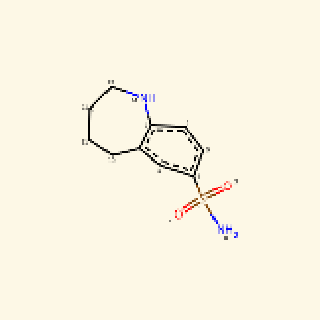 NS(=O)(=O)c1ccc2c(c1)CC[C]CN2